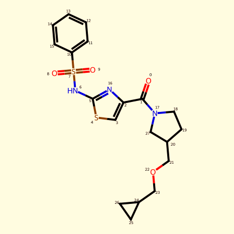 O=C(c1csc(NS(=O)(=O)c2ccccc2)n1)N1CCC(COCC2CC2)C1